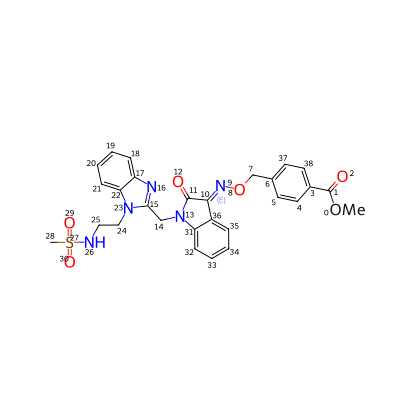 COC(=O)c1ccc(CO/N=C2/C(=O)N(Cc3nc4ccccc4n3CCNS(C)(=O)=O)c3ccccc32)cc1